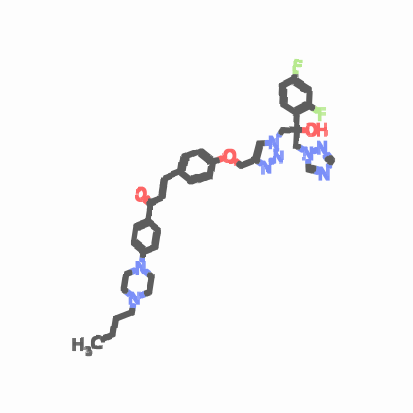 CCCCN1CCN(c2ccc(C(=O)C=Cc3ccc(OCc4cn(CC(O)(Cn5cncn5)c5ccc(F)cc5F)nn4)cc3)cc2)CC1